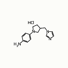 Cl.Nc1ccc(N2CCC(Cn3ccnc3)C2)cc1